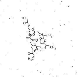 CCC(=O)OCC(CNC(=O)N(CC(COC(=O)CC)OC(=O)CC)NCC(COC(=O)CC)OC(=O)CC)OC(=O)CC